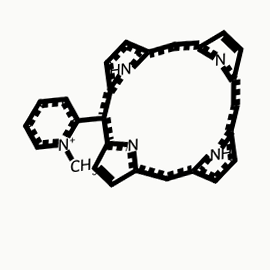 C[n+]1ccccc1-c1c2nc(cc3ccc(cc4nc(cc5ccc1[nH]5)C=C4)[nH]3)C=C2